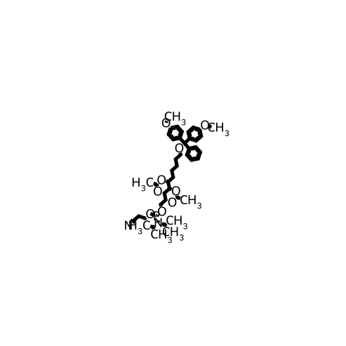 COc1ccc(C(OCCCCCC(OC(C)=O)C(CCCOP(OCCC#N)N(C(C)C)C(C)C)OC(C)=O)(c2ccccc2)c2ccc(OC)cc2)cc1